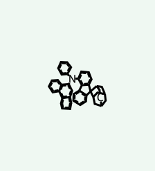 c1ccc(N(c2cccc3c2-c2ccccc2C32C3CCC4CC(C3)CC2C4)c2cc3ccccc3c3ccccc23)cc1